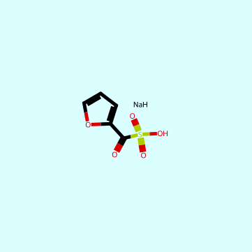 O=C(c1ccco1)S(=O)(=O)O.[NaH]